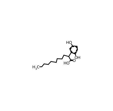 CCCCCCCCCC(C(=O)O)c1cc(O)ccc1O